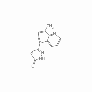 Cc1ccc(-c2ccc(=O)[nH]n2)c2cccnc12